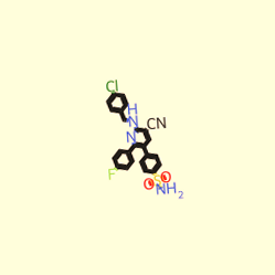 N#Cc1cc(-c2ccc(S(N)(=O)=O)cc2)c(-c2ccc(F)cc2)nc1NCc1ccc(Cl)cc1